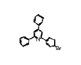 Brc1ccc(-c2cc(-c3ccccc3)cc(-c3ccccc3)n2)cc1